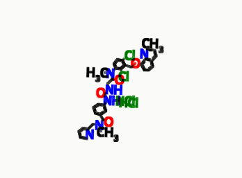 Cc1ccc2cccc(OCc3c(Cl)ccc(N(C)C(=O)CNC(=O)Nc4cccc(C(=O)N(C)Cc5ccccn5)c4)c3Cl)c2n1.Cl.Cl